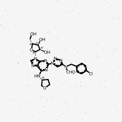 O=CN(Cc1ccc(Cl)cc1)c1cn(-c2nc(N[C@@H]3CCOC3)c3ncn([C@@H]4O[C@H](CO)[C@@H](O)[C@H]4O)c3n2)nn1